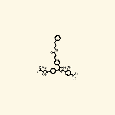 CCN(CC)c1ccc(-c2nc(-c3ccc(C4=NOC(C(=O)OC)C4)cc3)c(-c3ccc(/C=C/C(=O)NCCCc4ccccc4)cc3)[nH]2)c(O)c1